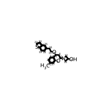 Cc1ccc(C(CC(=O)N2CC(O)C2)OCCc2ccc3sccc3c2)cc1